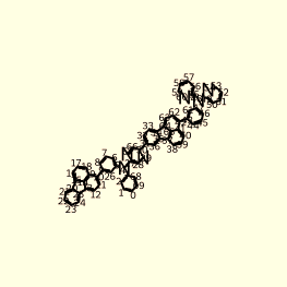 c1ccc(N(c2cccc(-c3ccc4c5c(cccc35)-c3ccccc3-4)c2)c2cnc(-c3ccc4c(c3)-c3cccc5c(-c6cccc(N(c7ccccn7)c7ccccn7)c6)ccc-4c35)cn2)cc1